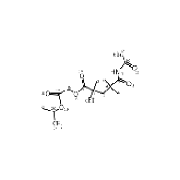 CCC(C)(CC(C)(C)C(=O)NC(=O)C(C)(C)C)C(=O)OCC(=O)OC(C)C(F)(F)F